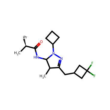 CC1C(CC2CC(F)(F)C2)=NN(C2CCC2)C1NC(=O)[C@@H](C)C(C)C